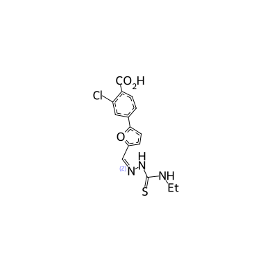 CCNC(=S)N/N=C\c1ccc(-c2ccc(C(=O)O)c(Cl)c2)o1